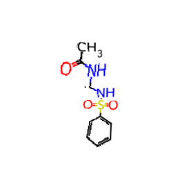 CC(=O)N[CH]NS(=O)(=O)c1ccccc1